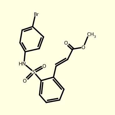 COC(=O)C=Cc1ccccc1S(=O)(=O)Nc1ccc(Br)cc1